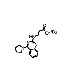 CC(C)(C)OC(=O)CCNc1nc(N2CCCC2)c2ccccc2n1